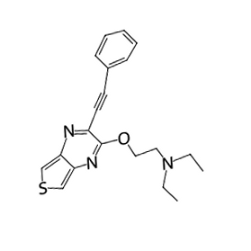 CCN(CC)CCOc1nc2cscc2nc1C#Cc1ccccc1